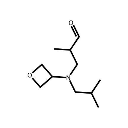 CC(C)CN(CC(C)C=O)C1COC1